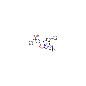 CCC(=O)C1(Cc2ccccc2)CCN(C(=O)[C@@H](Cc2ccc(-c3ccccc3)cc2)N(C)C(=O)/C=C/CC2(N)CCC2)CC1